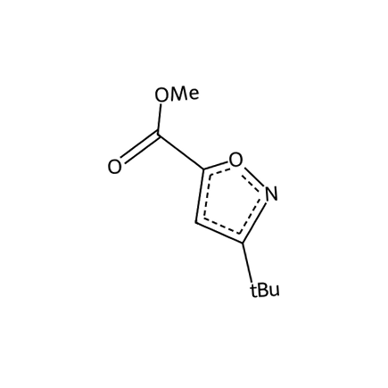 COC(=O)c1cc(C(C)(C)C)no1